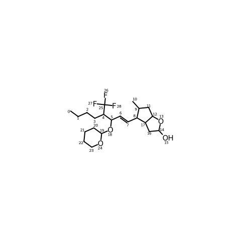 CCCCC(C(/C=C/C1C(C)CC2OC(O)CC21)OC1CCCCO1)C(F)(F)F